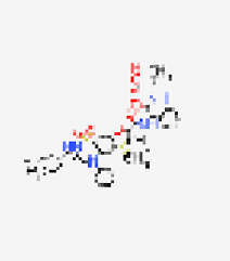 CCCCC1(CCCC)CN(c2ccccc2)c2cc(SC)c(OC(C)C(=O)N[C@@H](C(=O)N[C@@H](CC)C(=O)O)c3ccccc3)cc2S(=O)(=O)N1